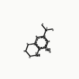 CN(C)c1ccc2c(c1)CCCN2.Cl